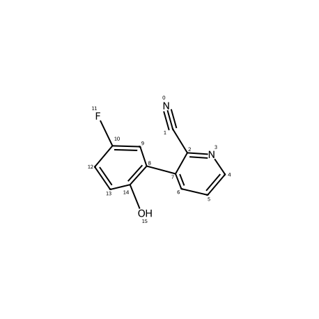 N#Cc1ncccc1-c1cc(F)ccc1O